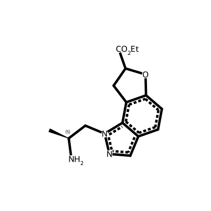 CCOC(=O)C1Cc2c(ccc3cnn(C[C@H](C)N)c23)O1